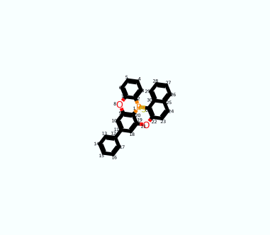 S=P12c3ccccc3Oc3cc(-c4ccccc4)cc(c31)Oc1ccc3ccccc3c12